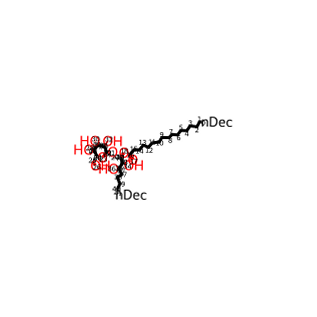 CCCCCCCCCCCCCCCCCCCCCCCCCC(=O)O[C@@H](CO[C@H]1O[C@H](CO)[C@H](O)[C@H](O)[C@H]1O)[C@H](O)[C@H](O)CCCCCCCCCCCCCC